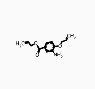 C=CCOC(=O)c1ccc(OCC=C)c(N)c1